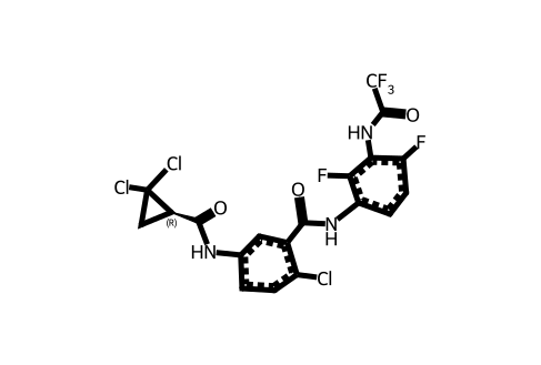 O=C(Nc1ccc(F)c(NC(=O)C(F)(F)F)c1F)c1cc(NC(=O)[C@H]2CC2(Cl)Cl)ccc1Cl